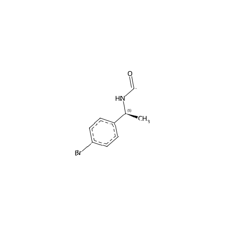 C[C@H](N[C]=O)c1ccc(Br)cc1